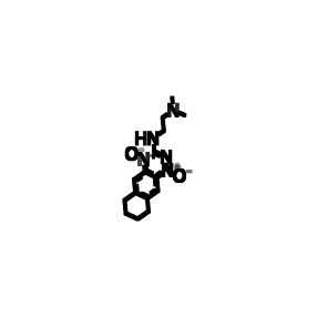 CN(C)CCNc1n[n+]([O-])c2cc3c(cc2[n+]1[O-])CCCC3